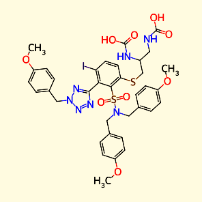 COc1ccc(CN(Cc2ccc(OC)cc2)S(=O)(=O)c2c(SCC(CNC(=O)O)NC(=O)O)ccc(I)c2-c2nnn(Cc3ccc(OC)cc3)n2)cc1